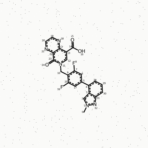 Cn1cc2c(-c3cc(F)c(Cn4cc(C(=O)O)c5nccnc5c4=O)c(F)c3)cccc2n1